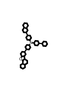 c1ccc(-c2ccc(N(c3ccc(-c4ccc5ccccc5c4)cc3)c3ccc(-c4ccc5oc6c7ccccc7ccc6c5c4)cc3)cc2)cc1